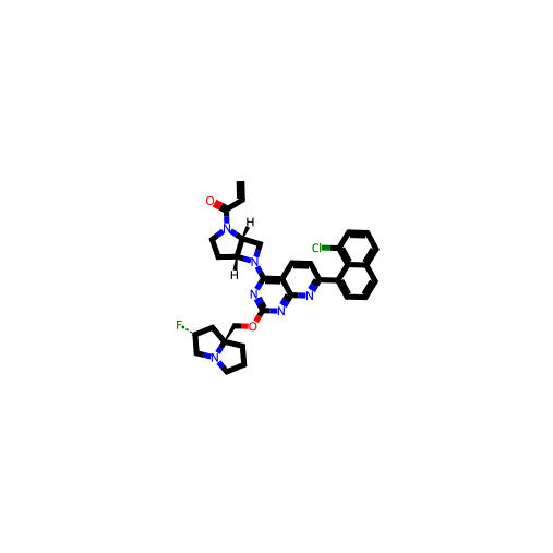 C=CC(=O)N1CC[C@@H]2[C@H]1CN2c1nc(OC[C@@]23CCCN2C[C@H](F)C3)nc2nc(-c3cccc4cccc(Cl)c34)ccc12